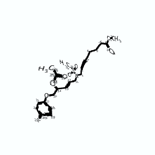 COC(=O)CCCC#CCN(CC=CC(COc1ccc(F)cc1)OC(C)=O)S(C)(=O)=O